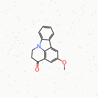 COc1cc2c3c(c1)c1ccccc1n3CCC2=O